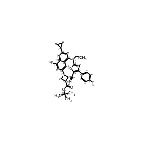 CCN(c1nc(-c2ccc(F)cc2)c(C#N)s1)c1cc(C2CC2)nc2c(F)cc(N3CC(C(=O)OC(C)(C)C)C3)cc12